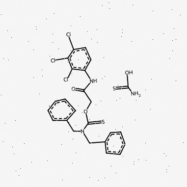 NC(O)=S.O=C(COC(=S)N(Cc1ccccc1)Cc1ccccc1)Nc1ccc(Cl)c(Cl)c1Cl